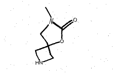 CN1CC2(CNC2)OC1=O